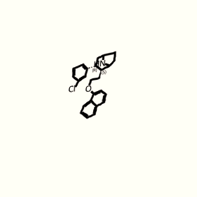 Clc1cccc([C@@H]2CC3CCC(N3)[C@H]2CCOc2cccc3ccccc23)c1